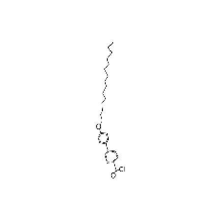 CCCCCCCCCCCCCCCOc1ccc(-c2ccc(C(=O)Cl)cc2)cc1